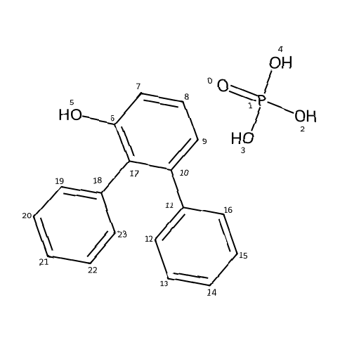 O=P(O)(O)O.Oc1cccc(-c2ccccc2)c1-c1ccccc1